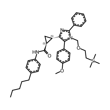 CCCCCc1ccc(NC(=O)[C@H]2C[C@@H]2c2nc(-c3ccccc3)n(COCC[Si](C)(C)C)c2-c2ccc(OC)cc2)cc1